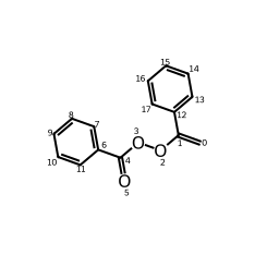 C=C(OOC(=O)c1ccccc1)c1ccccc1